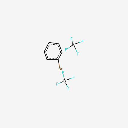 Brc1ccccc1.F[B-](F)(F)F.F[B-](F)(F)F